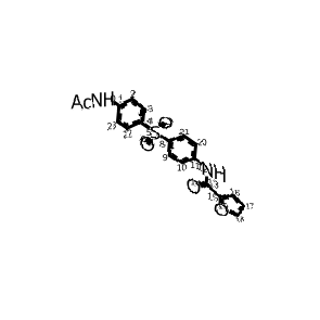 CC(=O)Nc1ccc(S(=O)(=O)c2ccc(NC(=O)c3ccco3)cc2)cc1